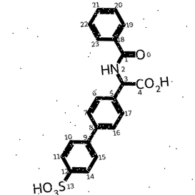 O=C(NC(C(=O)O)c1ccc(-c2ccc(S(=O)(=O)O)cc2)cc1)c1ccccc1